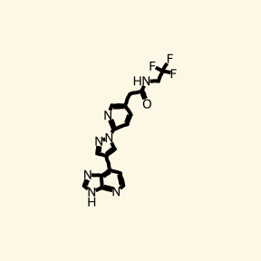 O=C(Cc1ccc(-n2cc(-c3ccnc4[nH]cnc34)cn2)nc1)NCC(F)(F)F